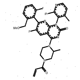 C=CC(=O)N1CCN(c2nc(=O)n(-c3c(C)ccnc3C(C)C)c3nc(-c4c(F)cccc4COC)c(F)cc23)C(C)C1